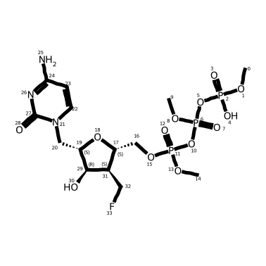 COP(=O)(O)OP(=O)(OC)OP(=O)(OC)OC[C@H]1O[C@@H](Cn2ccc(N)nc2=O)[C@H](O)[C@@H]1CF